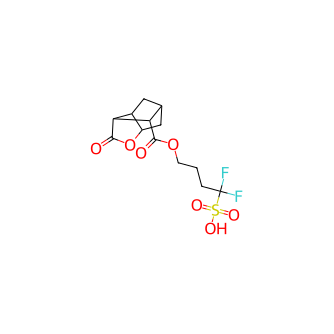 O=C(OCCCC(F)(F)S(=O)(=O)O)C1C2CC3OC(=O)C1C3C2